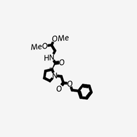 COC(CNC(=O)[C@@H]1CCCN1CC(=O)OCc1ccccc1)OC